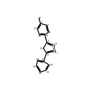 Cc1ccc(C2=NN=C(c3ccccc3)C2)cc1